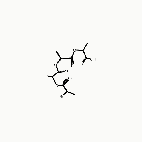 CC(Br)C(=O)OC(C)C(=O)OC(C)C(=O)OC(C)C(=O)O